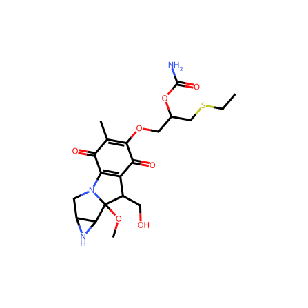 CCSCC(COC1=C(C)C(=O)C2=C(C1=O)C(CO)C1(OC)C3NC3CN21)OC(N)=O